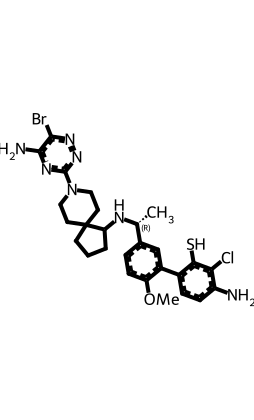 COc1ccc([C@@H](C)NC2CCCC23CCN(c2nnc(Br)c(N)n2)CC3)cc1-c1ccc(N)c(Cl)c1S